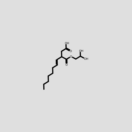 CCCCCCC=CC(CC(=O)O)C(=O)OCC(O)O